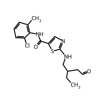 CCC(CC=O)CNc1ncc(C(=O)Nc2c(C)cccc2Cl)s1